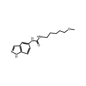 COCCCCCNC(=O)Nc1ccc2[nH]ncc2c1